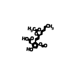 CCCCC[C@@H](C=C[C@@H]1[C@@H](CC(=O)O)[C@@H](O)C[C@H]1OC=O)OC(C)=O